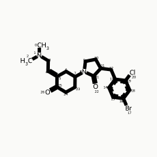 CN(C)C/C=C1\CC(N2CCC(Cc3ccc(Br)cc3Cl)C2=O)CCC1=O